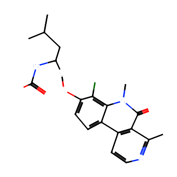 Cc1nccc2c1c(=O)n(C)c1c(Cl)c(OCC(CC(C)C)NC(=O)O)ccc21